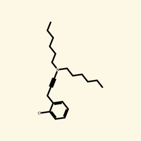 CCCCCCN(C#CCc1ccccc1Cl)CCCCCC